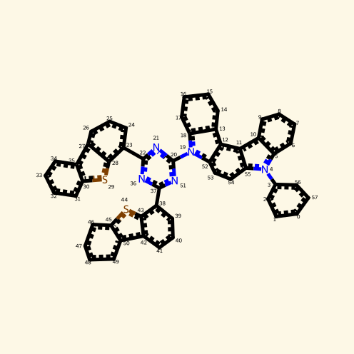 c1ccc(-n2c3ccccc3c3c4c5ccccc5n(-c5nc(-c6cccc7c6sc6ccccc67)nc(-c6cccc7c6sc6ccccc67)n5)c4ccc32)cc1